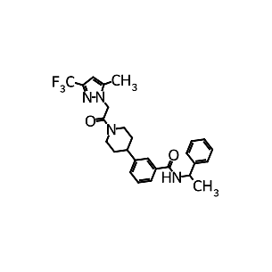 Cc1cc(C(F)(F)F)nn1CC(=O)N1CCC(c2cccc(C(=O)NC(C)c3ccccc3)c2)CC1